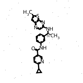 Cc1cc2ncc(N[C@@H](C)c3cccc(NC(=O)c4ccc(C5CC5)nc4)c3)nc2s1